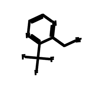 FC(F)(F)c1nccnc1CBr